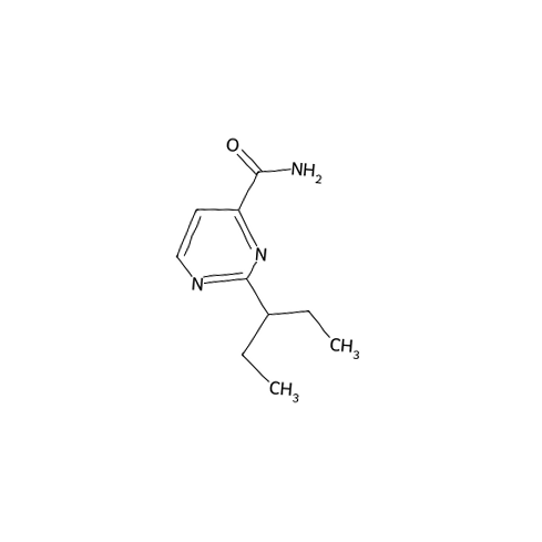 CCC(CC)c1nccc(C(N)=O)n1